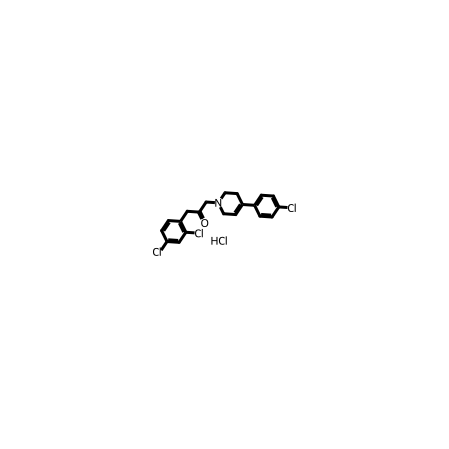 Cl.O=C(Cc1ccc(Cl)cc1Cl)CN1CC=C(c2ccc(Cl)cc2)CC1